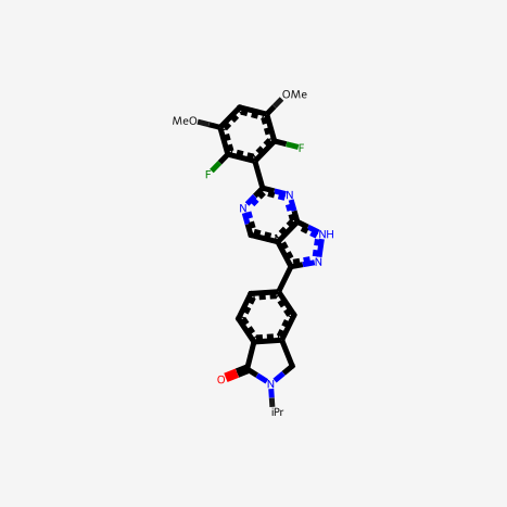 COc1cc(OC)c(F)c(-c2ncc3c(-c4ccc5c(c4)CN(C(C)C)C5=O)n[nH]c3n2)c1F